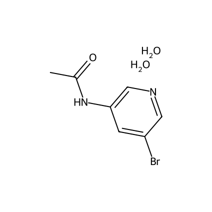 CC(=O)Nc1cncc(Br)c1.O.O